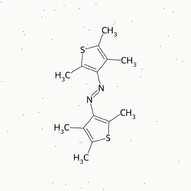 Cc1sc(C)c(N=Nc2c(C)sc(C)c2C)c1C